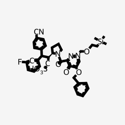 C[Si](C)(C)CCOCn1cc(OCc2ccccc2)c(=O)c(C(=O)N2CCC[C@@H]2C(CS(=O)(=O)O)C(c2ccc(C#N)cc2)c2cccc(F)c2)n1